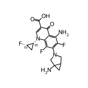 Nc1c(F)c(N2CC3CC3(N)C2)c(F)c2c1c(=O)c(C(=O)O)cn2[C@@H]1C[C@@H]1F